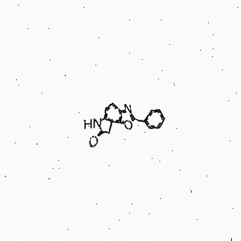 O=C1Cc2c(ccc3nc(-c4ccccc4)oc23)N1